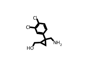 NCC1(c2ccc(Cl)c(Cl)c2)CC1CO